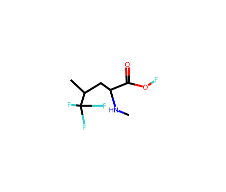 CNC(CC(C)C(F)(F)F)C(=O)OF